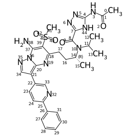 CC(=O)Nc1nnc(C(=O)N(C(C)C)[C@H](C)CCc2nc3c(-c4ccc(-c5ccccc5)nc4)cnn3c(N)c2S(C)(=O)=O)[nH]1